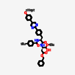 CCCCCCCOc1ccc(-c2cnc(-c3ccc(C[C@H](NC(=O)c4ccc(C(C)(C)C)cc4)C(=O)N[C@@H](CC(=O)OCc4ccccc4)C(O)OC(C)(C)C)cc3)nc2)cc1